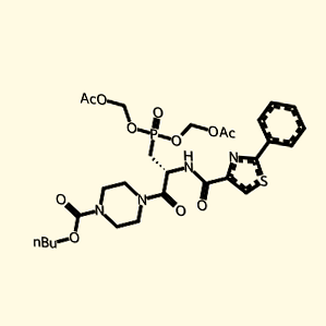 CCCCOC(=O)N1CCN(C(=O)[C@H](CP(=O)(OCOC(C)=O)OCOC(C)=O)NC(=O)c2csc(-c3ccccc3)n2)CC1